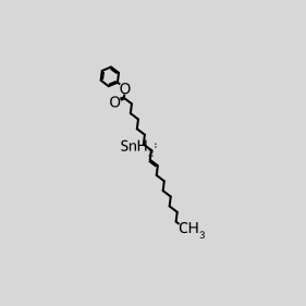 CCCCCCCCC=CCCCCCCCC(=O)Oc1ccccc1.[SnH2]